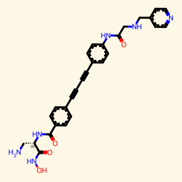 NC[C@H](NC(=O)c1ccc(C#CC#Cc2ccc(NC(=O)CNCc3ccncc3)cc2)cc1)C(=O)NO